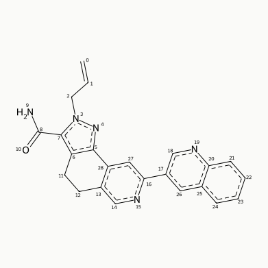 C=CCn1nc2c(c1C(N)=O)CCc1cnc(-c3cnc4ccccc4c3)cc1-2